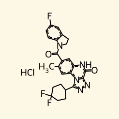 Cc1cc2c(cc1C(=O)N1CCc3cc(F)ccc31)[nH]c(=O)c1nnc(C3CCC(F)(F)CC3)n12.Cl